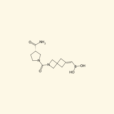 NC(=O)[C@H]1CCN(C(=O)N2CC3(CC(=CB(O)O)C3)C2)C1